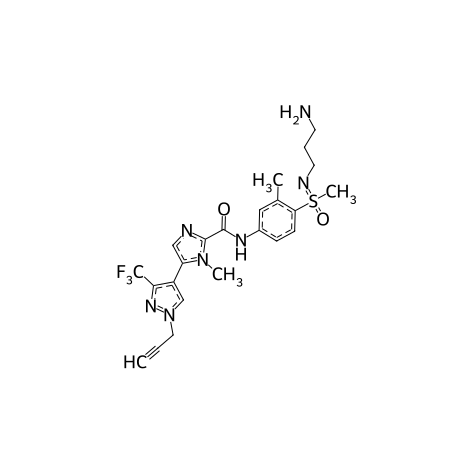 C#CCn1cc(-c2cnc(C(=O)Nc3ccc(S(C)(=O)=NCCCN)c(C)c3)n2C)c(C(F)(F)F)n1